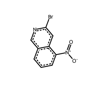 O=[N+]([O-])c1cccc2cnc(Br)cc12